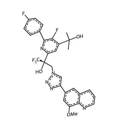 COc1cc(-c2cn(C[C@](O)(c3cc(C(C)(C)O)c(F)c(-c4ccc(F)cc4)n3)C(F)(F)F)nn2)cc2cccnc12